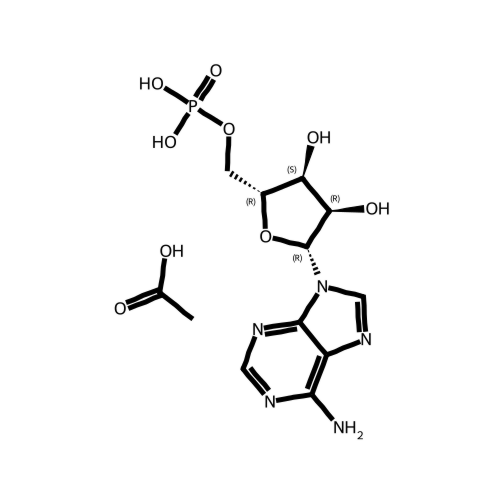 CC(=O)O.Nc1ncnc2c1ncn2[C@@H]1O[C@H](COP(=O)(O)O)[C@@H](O)[C@H]1O